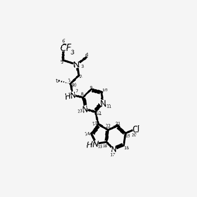 C[C@H](CN(C)CC(F)(F)F)Nc1ccnc(-c2c[nH]c3ncc(Cl)cc23)n1